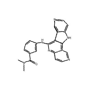 CN(C)C(=O)c1cccc(Nc2nc3ccncc3c3[nH]c4ccncc4c23)c1